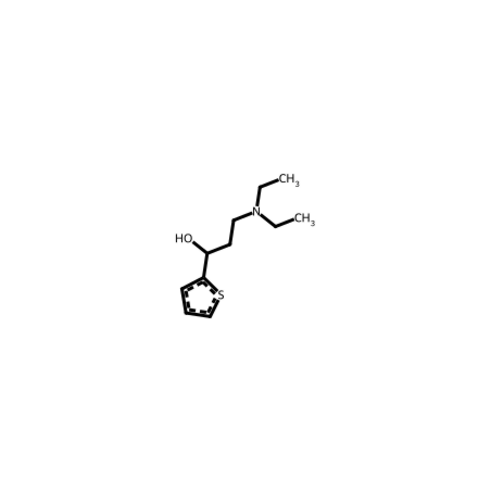 CCN(CC)CCC(O)c1cccs1